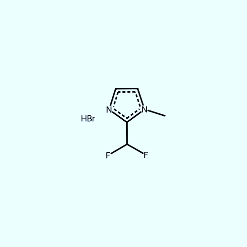 Br.Cn1ccnc1C(F)F